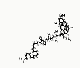 CC/C=C\C/C=C\C/C=C\C/C=C\C/C=C\CCCC(=O)NCCNCCNC(=O)CC[C@@H](C)C1CC[C@H]2[C@@H]3[C@H](O)C[C@@H]4C[C@H](O)CC[C@]4(C)[C@H]3CC[C@]12C